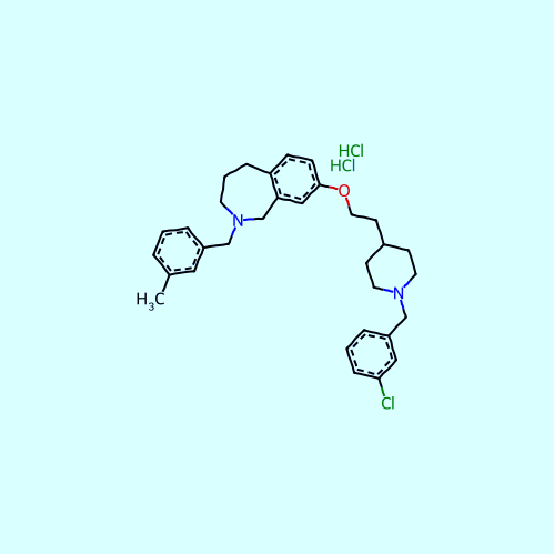 Cc1cccc(CN2CCCc3ccc(OCCC4CCN(Cc5cccc(Cl)c5)CC4)cc3C2)c1.Cl.Cl